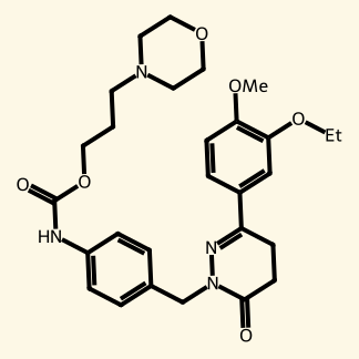 CCOc1cc(C2=NN(Cc3ccc(NC(=O)OCCCN4CCOCC4)cc3)C(=O)CC2)ccc1OC